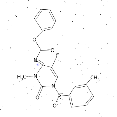 Cc1cccc([S+]([O-])n2cc(F)/c(=N\C(=O)Oc3ccccc3)n(C)c2=O)c1